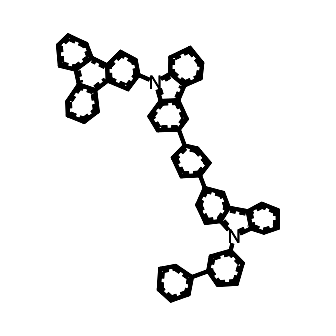 c1ccc(-c2cccc(-n3c4ccccc4c4cc(-c5ccc(-c6ccc7c(c6)c6ccccc6n7-c6ccc7c8ccccc8c8ccccc8c7c6)cc5)ccc43)c2)cc1